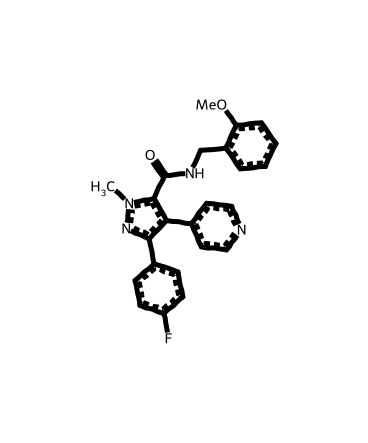 COc1ccccc1CNC(=O)c1c(-c2ccncc2)c(-c2ccc(F)cc2)nn1C